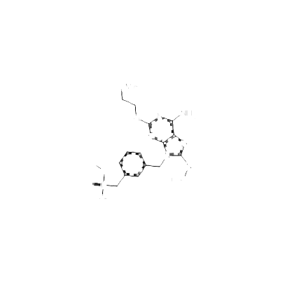 CCCCNc1nc2c(N)nc(OCCOC)nc2n1Cc1cccc(CP(=O)(O)OCC)c1